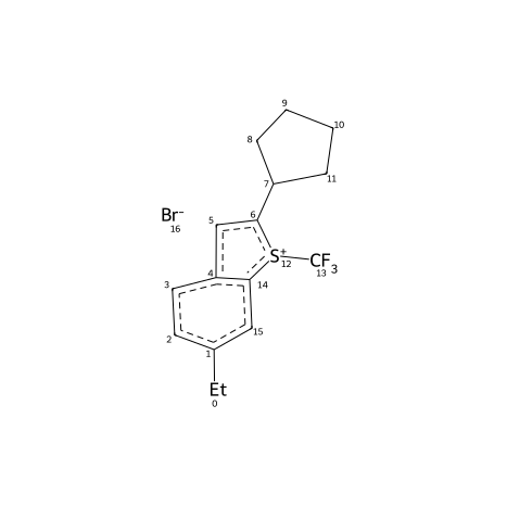 CCc1ccc2cc(C3CCCC3)[s+](C(F)(F)F)c2c1.[Br-]